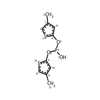 Cc1csc(OP(O)Oc2cc(C)cs2)c1